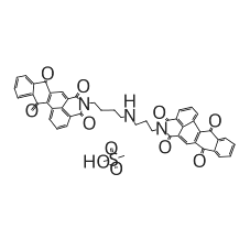 CS(=O)(=O)O.O=C1c2ccccc2C(=O)c2c1cc1c3c(cccc23)C(=O)N(CCCCNCCCN2C(=O)c3cccc4c5c(cc(c34)C2=O)C(=O)c2ccccc2C5=O)C1=O